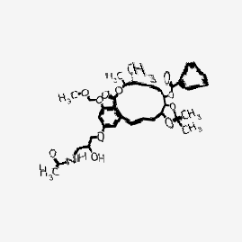 COCOc1cc(OCC(O)CNC(C)=O)cc2c1C(=O)OC(C)[C@H](C)/C=C\C(OC(=O)c1ccccc1)C1OC(C)(C)OC1C/C=C/2